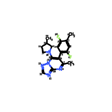 Cc1cc(F)c(-c2c(C)nc3ncnn3c2N2CCC(C)C2)cc1F